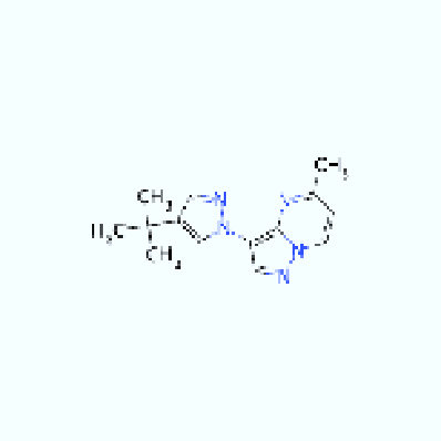 Cc1ccn2ncc(-n3cc(C(C)(C)C)cn3)c2n1